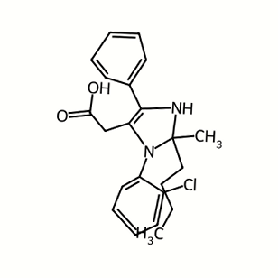 CCCCC1(C)NC(c2ccccc2)=C(CC(=O)O)N1c1ccccc1Cl